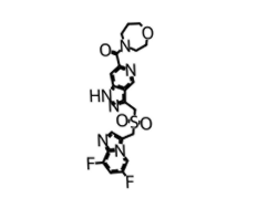 O=C(c1cc2[nH]nc(CS(=O)(=O)Cc3cnc4c(F)cc(F)cn34)c2cn1)N1CCCOCC1